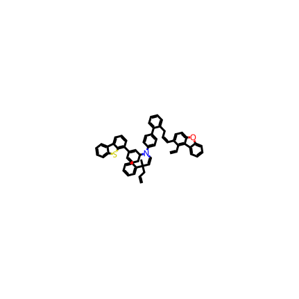 C=CCC(C)(/C=C\N(c1ccc(-c2ccccc2C/C=C\c2ccc3oc4ccccc4c3c2C=C)cc1)C1C=C(c2cccc3c2sc2ccccc23)C=CC1)c1ccccc1